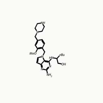 CCCCC(CO)Nc1nc(N)nc2ccn(Cc3ccc(CN4CCNCC4)cc3OC)c12